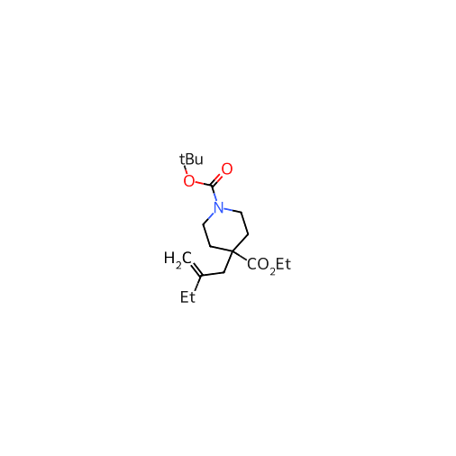 C=C(CC)CC1(C(=O)OCC)CCN(C(=O)OC(C)(C)C)CC1